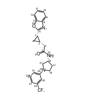 O=C(C[C@@H]1C[C@@H]1c1nc2ccccc2o1)N[C@@H]1CCN(c2cncc(C(F)(F)F)c2)C1